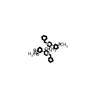 CSc1cccc([C@@H]2CCN(Cc3ccccc3)C[C@@H]2C)c1.C[C@H]1CN(Cc2ccccc2)CC[C@H]1c1cccc(S(C)(=O)=O)c1